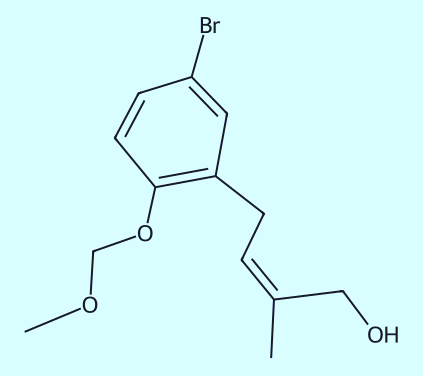 COCOc1ccc(Br)cc1CC=C(C)CO